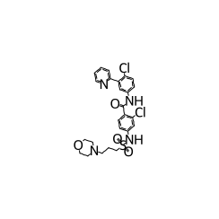 O=C(Nc1ccc(Cl)c(-c2ccccn2)c1)c1ccc(NS(=O)(=O)CCCN2CCOCC2)cc1Cl